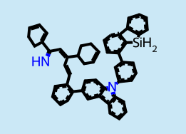 N=C(/C=C(\C=C\c1ccccc1-c1ccc2c(c1)c1ccccc1n2-c1cccc(-c2cccc3c2[SiH2]c2ccccc2-3)c1)C1CC=CCC1)C1=CC=CCC1